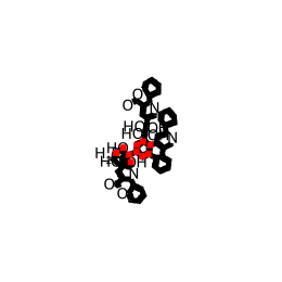 BC(O)(c1cnc2c(c1)c(=O)oc1ccccc12)C(O)(O)c1cc(-c2ccccc2-c2cnc(-c3ccccc3)cc2-c2ccc(-c3ccccc3)cc2)cc(C(O)(O)C(O)(O)c2cnc3c(c2)c(=O)oc2ccccc23)c1